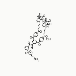 Cl.NC/C=C(\F)CS(=O)(=O)c1cccc(C(=O)Nc2cc(C(=O)N3CCN(C(=O)CCCC[C@@H]4SC[C@@H]5NC(=O)N[C@@H]54)CC3)cc(C(=O)N3CCN(C(=O)CCCC[C@@H]4SC[C@@H]5NC(=O)N[C@@H]54)CC3)c2)c1